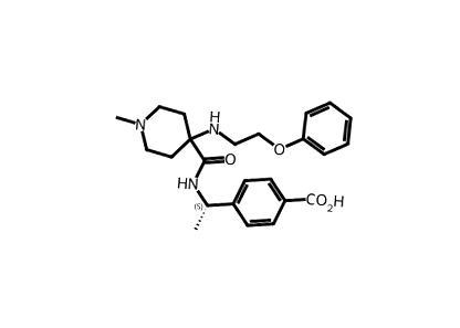 C[C@H](NC(=O)C1(NCCOc2ccccc2)CCN(C)CC1)c1ccc(C(=O)O)cc1